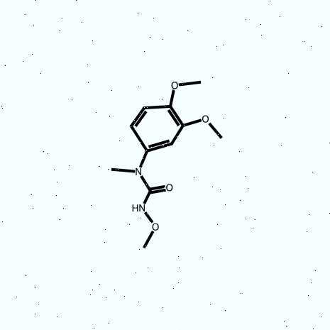 [CH2]N(C(=O)NOC)c1ccc(OC)c(OC)c1